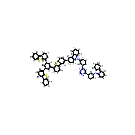 c1cc(-c2cc(-c3cccc(-n4c5ccccc5c5cc(-c6ccc7sc8c(-c9cc(-c%10cccc%11c%10sc%10ccccc%10%11)cc(-c%10cccc%11c%10sc%10ccccc%10%11)c9)cccc8c7c6)ccc54)c3)ncn2)cc(-n2c3ccccc3c3ccccc32)c1